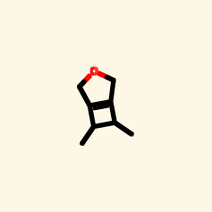 CC1C2=C(COC2)C1C